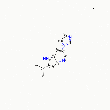 CC(C)C1=CC2N=CC(n3ccnc3)=CC2N1